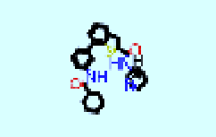 O=C(N[C@H]1CN2CCC1CC2)c1cc2cccc(-c3cccc(NC(=O)C4CCCCC4)c3)c2s1